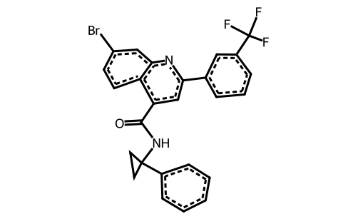 O=C(NC1(c2ccccc2)CC1)c1cc(-c2cccc(C(F)(F)F)c2)nc2cc(Br)ccc12